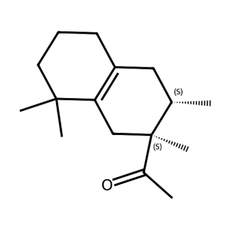 CC(=O)[C@@]1(C)CC2=C(CCCC2(C)C)C[C@@H]1C